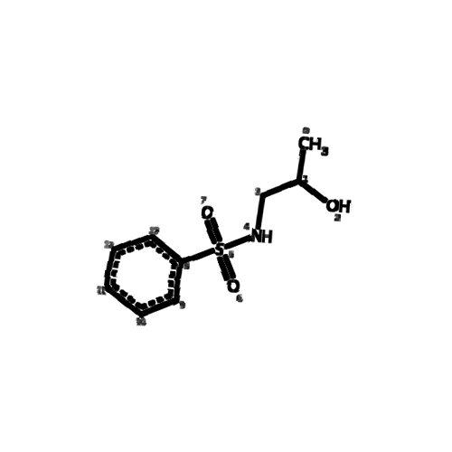 CC(O)CNS(=O)(=O)c1ccccc1